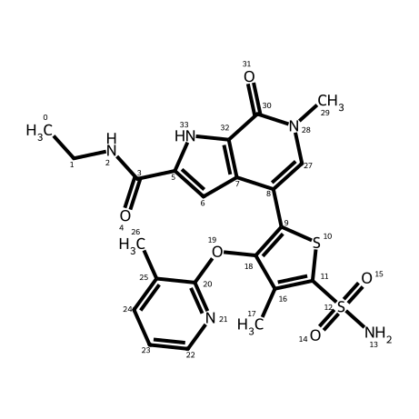 CCNC(=O)c1cc2c(-c3sc(S(N)(=O)=O)c(C)c3Oc3ncccc3C)cn(C)c(=O)c2[nH]1